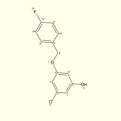 Oc1cc(Cl)cc(OCc2ccc(F)cc2)c1